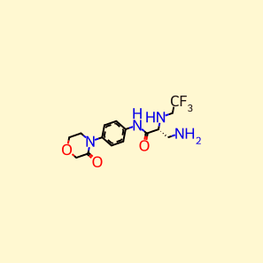 NC[C@@H](NCC(F)(F)F)C(=O)Nc1ccc(N2CCOCC2=O)cc1